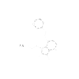 COCCn1c(C)c(C)c2nccc(OCc3cccnc3)c21.Cl